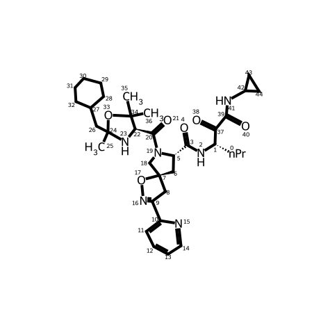 CCC[C@H](NC(=O)[C@@H]1C[C@]2(CC(c3ccccn3)=NO2)CN1C(=O)[C@H]1NC(C)(CC2CCCCC2)OC1(C)C)C(=O)C(=O)NC1CC1